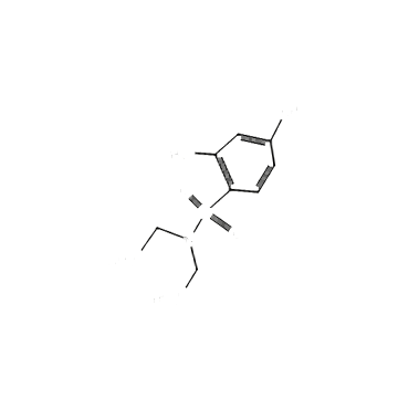 Cc1ccc(S(=O)(=O)N(CC(=O)O)CC(=O)O)c(C)c1